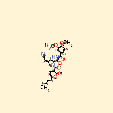 CCCCCc1ccc(C(=O)N2CC(=CC#N)C[C@H]2C(=O)NC(=O)c2ccc(OC)c(OC)c2)c(=O)o1